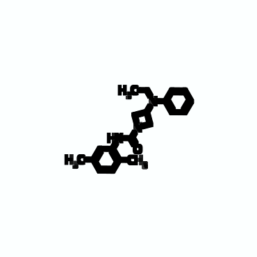 CCN(c1ccccc1)C1CN(C(=O)Nc2cc(C)ccc2C)C1